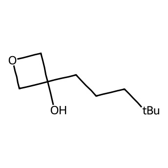 CC(C)(C)CCCC1(O)COC1